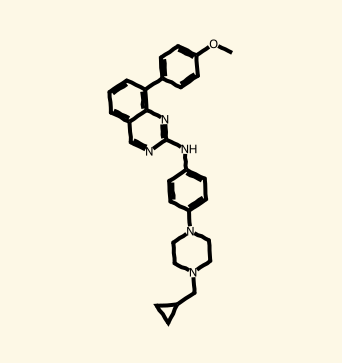 COc1ccc(-c2cccc3cnc(Nc4ccc(N5CCN(CC6CC6)CC5)cc4)nc23)cc1